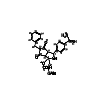 CSCCC1(OC(=O)O)NC(c2ccc(C(=N)N)cc2)C2C(=O)N(Cc3ccccc3)C(=O)C21